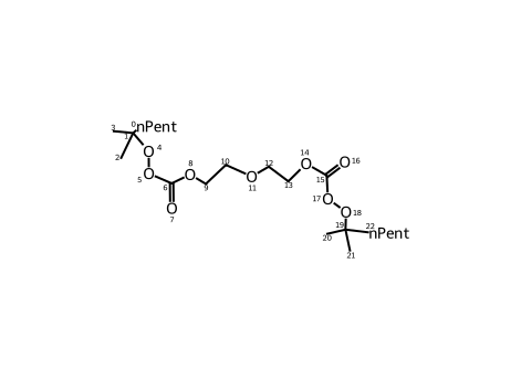 CCCCCC(C)(C)OOC(=O)OCCOCCOC(=O)OOC(C)(C)CCCCC